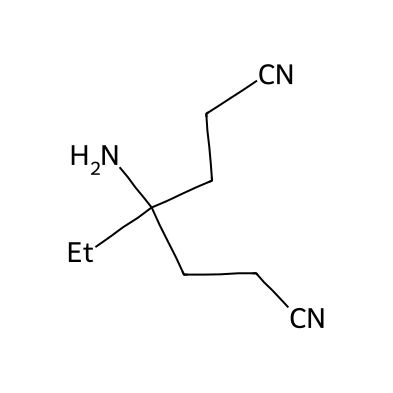 CCC(N)(CCC#N)CCC#N